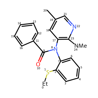 CCSc1ccccc1N(C(=O)c1ccccc1)c1cc(C)cnc1NC